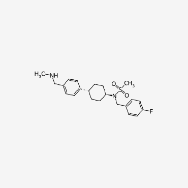 CNCc1ccc([C@H]2CC[C@H](N(Cc3ccc(F)cc3)S(C)(=O)=O)CC2)cc1